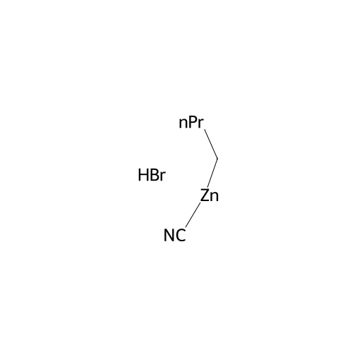 Br.CCC[CH2][Zn][C]#N